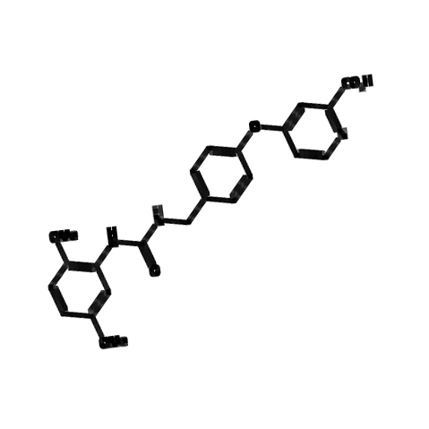 COc1ccc(OC)c(NC(=O)NCc2ccc(Oc3ccnc(C(=O)O)c3)cc2)c1